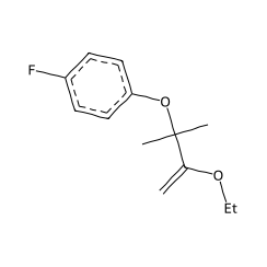 C=C(OCC)C(C)(C)Oc1ccc(F)cc1